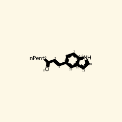 CCCCCC(=O)C=Cc1ccc2[nH]ccc2c1